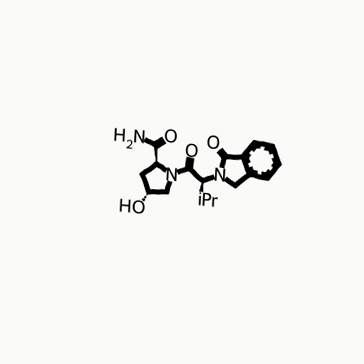 CC(C)[C@@H](C(=O)N1C[C@H](O)C[C@H]1C(N)=O)N1Cc2ccccc2C1=O